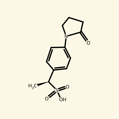 C[C@@H](c1ccc(N2CCCC2=O)cc1)S(=O)(=O)O